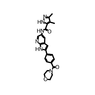 Cc1n[nH]c(C(=O)Nc2cnc3[nH]c(-c4ccc(C(=O)N5CCOCC5)cc4)cc3c2)c1C